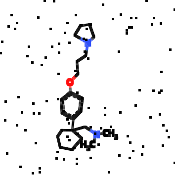 CN(C)CC1(c2ccc(OCCCN3CCCC3)cc2)CCCCC1